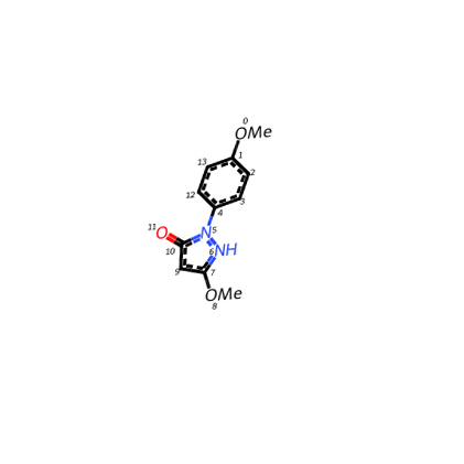 COc1ccc(-n2[nH]c(OC)cc2=O)cc1